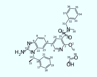 COc1ncc(-c2ccc3nc(N)n([C@H](C)c4ccccc4)c3c2)cc1S(=O)(=O)N(C)Cc1ccccc1.O=CO